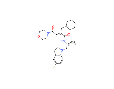 C[C@@H](CN1CCc2cc(F)ccc21)NC(=O)[C@@H](CC(=O)N1CCOCC1)CC1CCCCC1